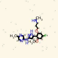 CNCCCOc1cc(F)cc(OC)c1-c1cc(Nc2cnc(C)cn2)n[nH]1